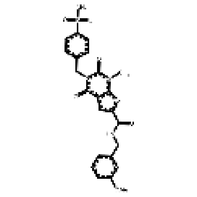 COc1cccc(CNC(=O)c2cc3c(=O)n(Cc4ccc(S(N)(=O)=O)cc4)c(=O)n(C)c3s2)c1